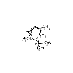 CC(C)=CC1CC1(C)C.O=C(O)O